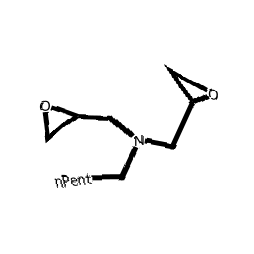 CCCCCCN(CC1CO1)CC1CO1